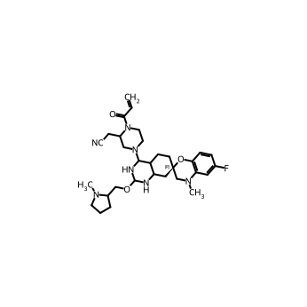 C=CC(=O)N1CCN(C2NC(OCC3CCCN3C)NC3C[C@]4(CCC32)CN(C)c2cc(F)ccc2O4)CC1CC#N